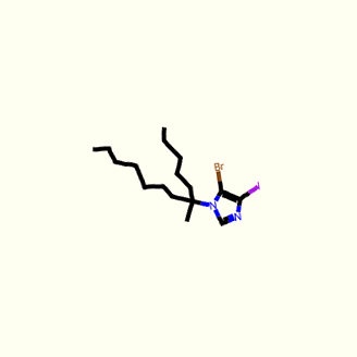 CCCCCCCC(C)(CCCCC)n1cnc(I)c1Br